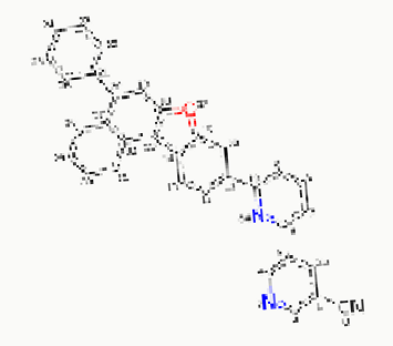 N#Cc1cncc(-c2cccc(-c3ccc4c(c3)oc3cc(-c5ccccc5)c5ccccc5c34)n2)c1